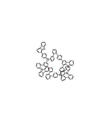 c1ccc(-c2ccccc2-c2ccc(N(c3ccc(-c4cc(-c5ccc(-c6ccccc6-c6cccc(N(c7ccc(-c8cccc9c8oc8ccccc89)cc7)c7cccc(-c8ccccc8-n8c9ccccc9c9ccccc98)c7)c6)cc5)cc5c4oc4ccccc45)cc3)c3cccc(-c4ccccc4-n4c5ccccc5c5ccccc54)c3)cc2)cc1